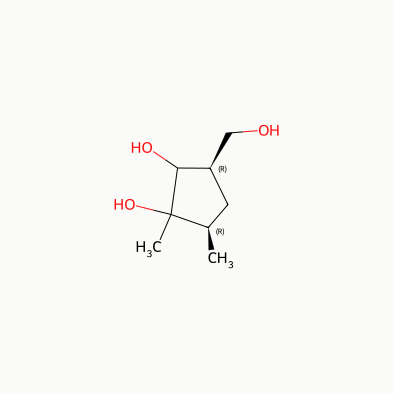 C[C@@H]1C[C@H](CO)C(O)C1(C)O